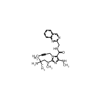 CC#CCn1c(N(C)CC(C)(C)N)nc(NC)c1C(=O)NCc1ncc2ccccc2n1